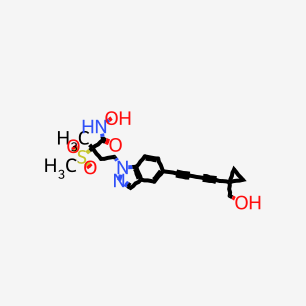 CC(CCn1ncc2cc(C#CC#CC3(CO)CC3)ccc21)(C(=O)NO)S(C)(=O)=O